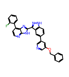 Fc1ccccc1-c1ccnc2[nH]c(-c3n[nH]c4ccc(-c5cncc(OCc6ccccc6)c5)cc34)nc12